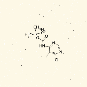 CC(C)(C)OC(=O)Nc1ncnc(Cl)c1I